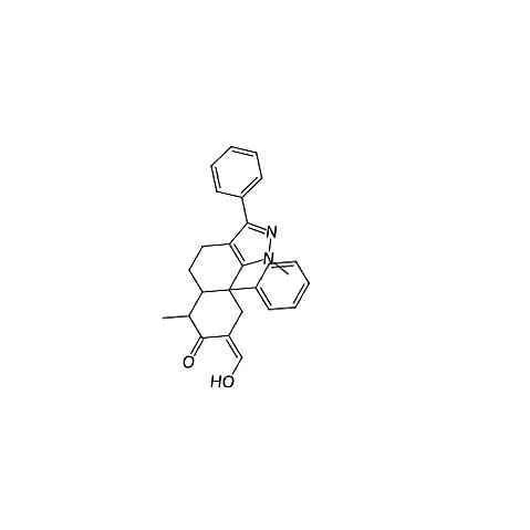 CC1C(=O)C(=CO)CC2(c3ccccc3)c3c(c(-c4ccccc4)nn3C)CCC12